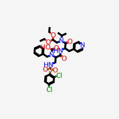 CCOC(CN(C(=O)C(Cc1ccncc1)NC(=O)C(CNS(=O)(=O)c1ccc(Cl)cc1Cl)N(Cc1ccccc1)C(=O)O)C(C)C)OCC